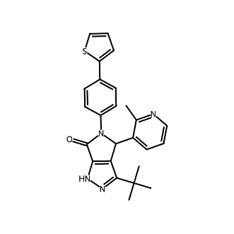 Cc1ncccc1C1c2c(C(C)(C)C)n[nH]c2C(=O)N1c1ccc(-c2cccs2)cc1